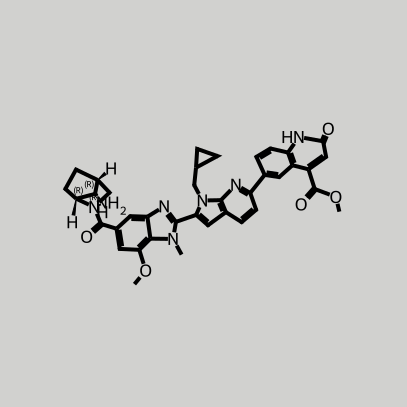 COC(=O)c1cc(=O)[nH]c2ccc(-c3ccc4cc(-c5nc6cc(C(=O)N7C[C@H]8CC[C@@H]7[C@@H]8N)cc(OC)c6n5C)n(CC5CC5)c4n3)cc12